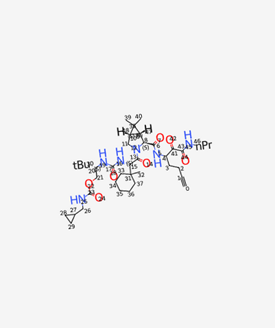 C#CCCC(NC(=O)[C@@H]1[C@@H]2[C@H](CN1C(=O)[C@@H](NC(=O)N[C@H](COC(=O)NCC1CC1)C(C)(C)C)C1(C)CCCCC1)C2(C)C)C(=O)C(=O)NCCC